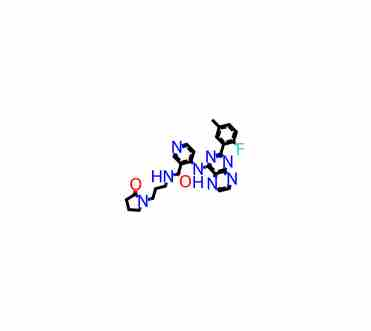 Cc1ccc(F)c(-c2nc(Nc3ccncc3C(=O)NCCCN3CCCC3=O)c3nccnc3n2)c1